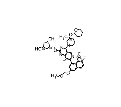 CCc1c(F)ccc2cc(OCOC)cc(-c3ncc4c(N5CCC[C@](C)(OC6CCCCO6)C5)nc(OC[C@@H]5C[C@@H](O)CN5C)nc4c3F)c12